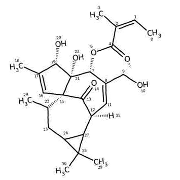 C/C=C(/C)C(=O)O[C@@H]1C(CO)=C[C@@H]2C(=O)[C@]3(C=C(C)[C@H](O)[C@@]13O)C(C)CC1C2C1(C)C